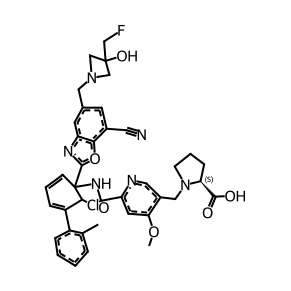 COc1cc(C(=O)NC2(c3nc4cc(CN5CC(O)(CF)C5)cc(C#N)c4o3)C=CC=C(c3ccccc3C)C2Cl)ncc1CN1CCC[C@H]1C(=O)O